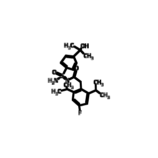 CC(C)c1cc(F)cc(C(C)C)c1CC(=O)N=[S@](N)(=O)c1ccc(C(C)(C)O)cc1